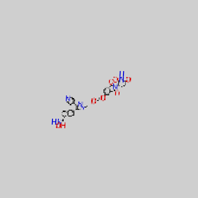 O=C1CCC(N2C(=O)c3ccc(OCCOCCCn4cc(-c5ccc6c(c5)CCC6CNO)c(-c5ccncc5)n4)cc3C2=O)C(=O)N1